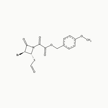 COc1ccc(COC(=O)C(=O)N2C(=O)[C@H](Br)[C@H]2SC=O)cc1